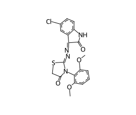 COc1cccc(OC)c1N1C(=O)CSC1=NN=C1C(=O)Nc2ccc(Cl)cc21